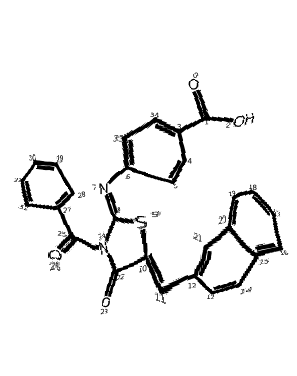 O=C(O)c1ccc(N=C2SC(=Cc3ccc4ccccc4c3)C(=O)N2C(=O)c2ccccc2)cc1